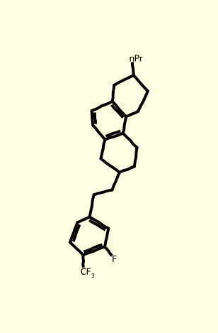 CCCC1CCc2c(ccc3c2CCC(CCc2ccc(C(F)(F)F)c(F)c2)C3)C1